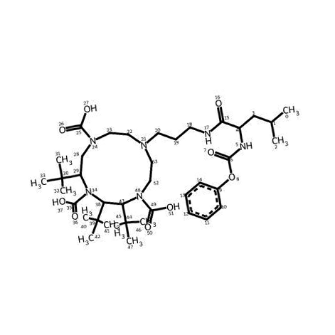 CC(C)CC(NC(=O)Oc1ccccc1)C(=O)NCCCN1CCN(C(=O)O)CC(C(C)(C)C)N(C(=O)O)C(C(C)(C)C)C(C(C)(C)C)N(C(=O)O)CC1